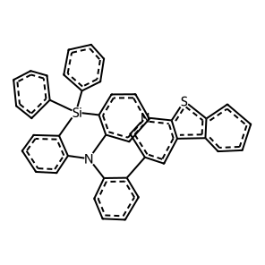 c1ccc([Si]2(c3ccccc3)c3ccccc3N(c3ccccc3-c3cnc4sc5ccccc5c4c3)c3ccccc32)cc1